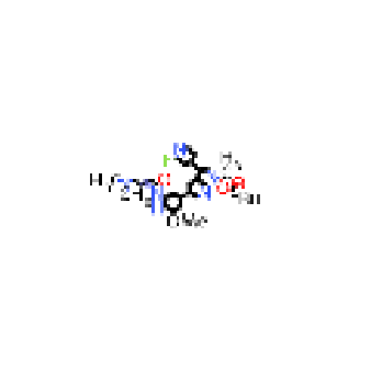 COc1cc(NC(=O)/C=C/CN(C)C)cc(-c2cnc3c(c2)c(-c2ccnc(F)c2)cn3C(C)OC(=O)C(C)(C)C)c1